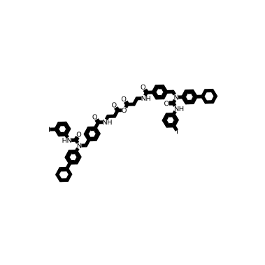 O=C(CCNC(=O)c1ccc(CN(C(=O)Nc2cccc(I)c2)c2ccc(C3=CCCCC3)cc2)cc1)OC(=O)CCNC(=O)c1ccc(CN(C(=O)Nc2cccc(I)c2)c2ccc(C3CCCCC3)cc2)cc1